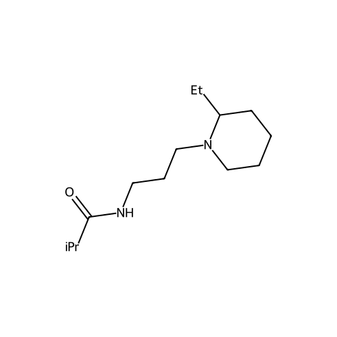 CCC1CCCCN1CCCNC(=O)C(C)C